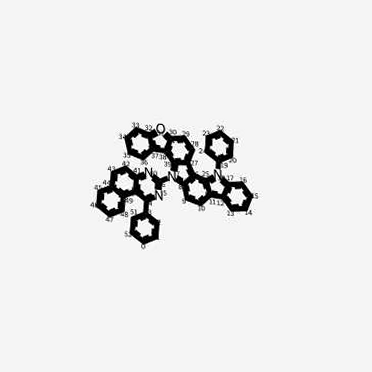 c1ccc(-c2nc(-n3c4ccc5c6ccccc6n(-c6ccccc6)c5c4c4ccc5oc6ccccc6c5c43)nc3ccc4ccccc4c23)cc1